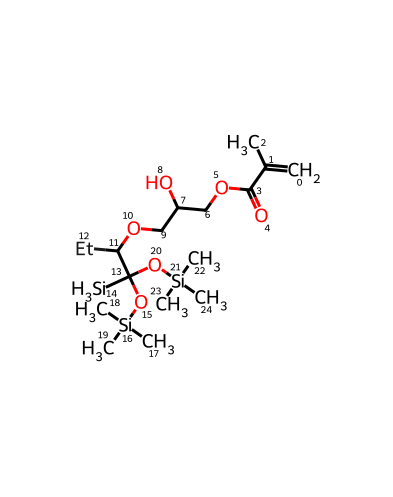 C=C(C)C(=O)OCC(O)COC(CC)C([SiH3])(O[Si](C)(C)C)O[Si](C)(C)C